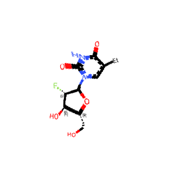 CCc1cn(C2O[C@H](CO)[C@@H](O)[C@@H]2F)c(=O)[nH]c1=O